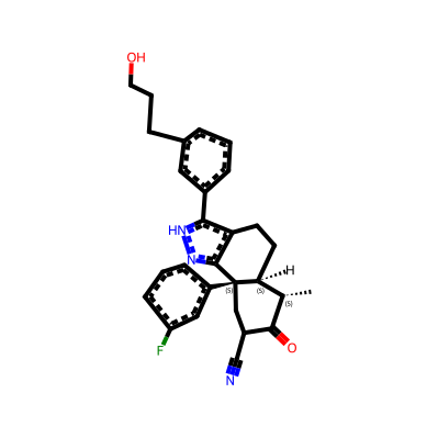 C[C@@H]1C(=O)C(C#N)C[C@]2(c3cccc(F)c3)c3n[nH]c(-c4cccc(CCCO)c4)c3CC[C@@H]12